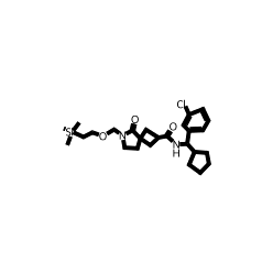 C[Si](C)(C)CCOCN1CCC2(CC(C(=O)NC(c3cccc(Cl)c3)C3CCCC3)C2)C1=O